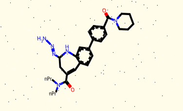 CCCN(CCC)C(=O)C1=Cc2ccc(-c3ccc(C(=O)N4CCCCC4)cc3)cc2NC(N=NN)C1